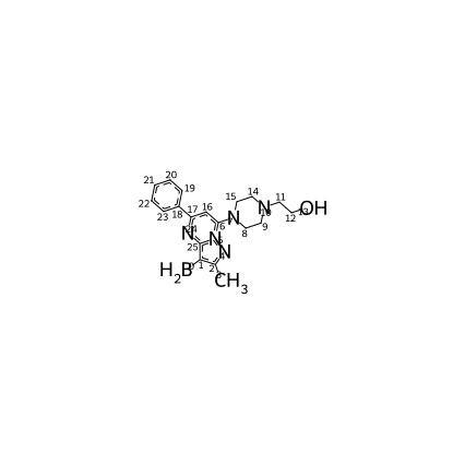 Bc1c(C)nn2c(N3CCN(CCO)CC3)cc(-c3ccccc3)nc12